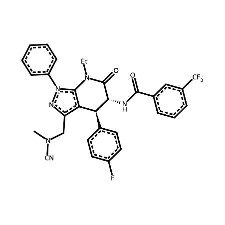 CCN1C(=O)[C@H](NC(=O)c2cccc(C(F)(F)F)c2)[C@@H](c2ccc(F)cc2)c2c(CN(C)C#N)nn(-c3ccccc3)c21